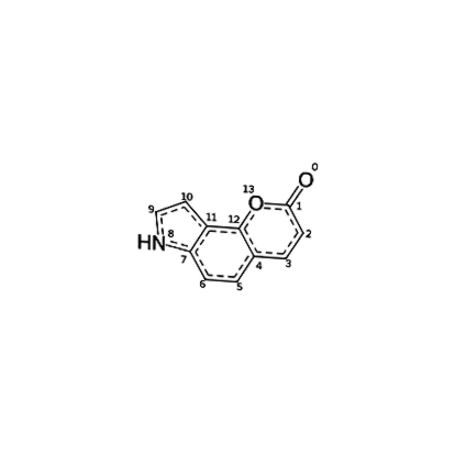 O=c1ccc2ccc3[nH]ccc3c2o1